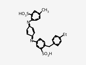 CCc1ccc(Cc2ccc(N=C3C=CC(=Nc4ccc(C)cc4S(=O)(=O)O)C=C3)cc2S(=O)(=O)O)cc1